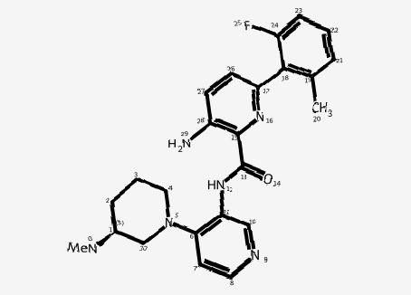 CN[C@H]1CCCN(c2ccncc2NC(=O)c2nc(-c3c(C)cccc3F)ccc2N)C1